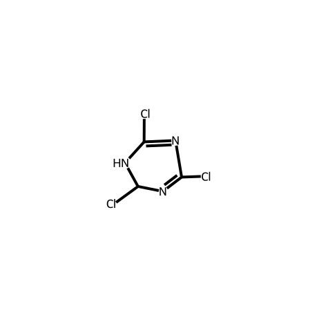 ClC1=NC(Cl)NC(Cl)=N1